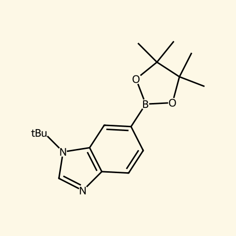 CC(C)(C)n1cnc2ccc(B3OC(C)(C)C(C)(C)O3)cc21